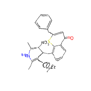 CCOC(=O)C1=C(C)NC(C)=C([N+](=O)[O-])C1c1cccc2c(=O)cc(-c3ccccc3)sc12